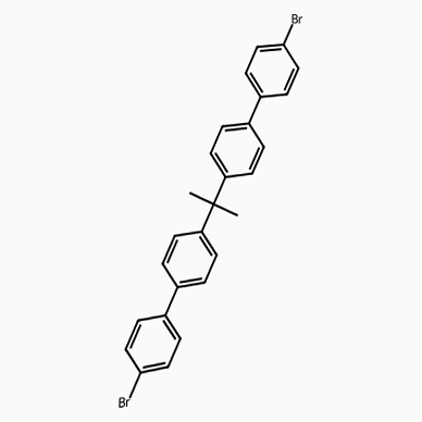 CC(C)(c1ccc(-c2ccc(Br)cc2)cc1)c1ccc(-c2ccc(Br)cc2)cc1